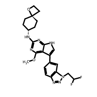 COc1nc(N[C@H]2CC[C@@]3(CCO3)CC2)nc2[nH]cc(-c3ccc4nnn(CC(F)F)c4c3)c12